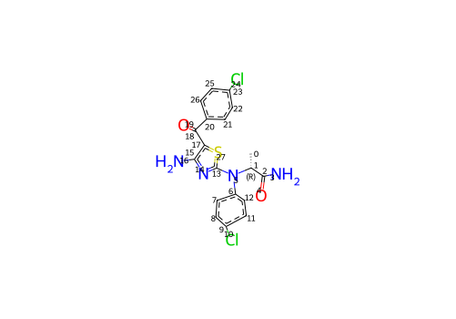 C[C@H](C(N)=O)N(c1ccc(Cl)cc1)c1nc(N)c(C(=O)c2ccc(Cl)cc2)s1